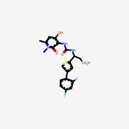 Cc1cc(O)c(NC(=O)NC(CC(=O)O)c2cc(-c3ccc(F)cc3F)cs2)c(=O)n1C